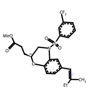 CC/C(C)=C\c1ccc2c(c1)N(S(=O)(=O)c1cccc(C(F)(F)F)c1)C[C@H](CCC(=O)OC)O2